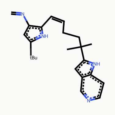 C=Nc1cc(C(C)(C)C)[nH]c1/C=C\CCC(C)(C)c1cc2cnccc2[nH]1